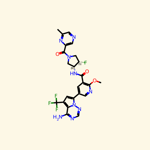 COc1ncc(-c2cc(C(F)(F)F)c3c(N)ncnn23)cc1C(=O)N[C@@H]1CN(C(=O)c2cncc(C)n2)C[C@@H]1F